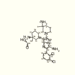 CC1(N)CCCN(C2=Nn3c(nc(-c4cccc(Cl)c4Cl)c3N)[SH]2N2CCCC(C)(N)C2)C1.O=CO